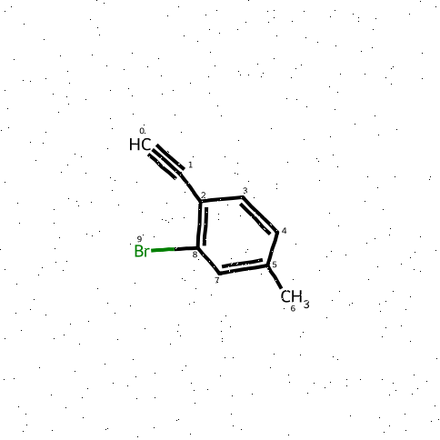 C#Cc1ccc(C)cc1Br